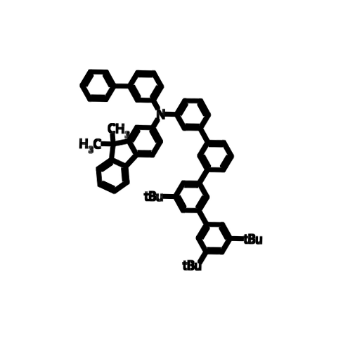 CC(C)(C)c1cc(-c2cccc(-c3cccc(N(c4cccc(-c5ccccc5)c4)c4ccc5c(c4)C(C)(C)c4ccccc4-5)c3)c2)cc(-c2cc(C(C)(C)C)cc(C(C)(C)C)c2)c1